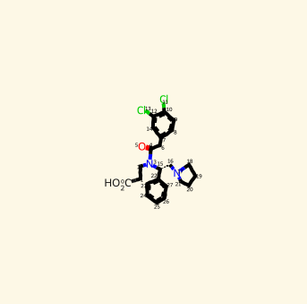 O=C(O)CCN(C(=O)Cc1ccc(Cl)c(Cl)c1)[C@H](CN1CCCC1)c1ccccc1